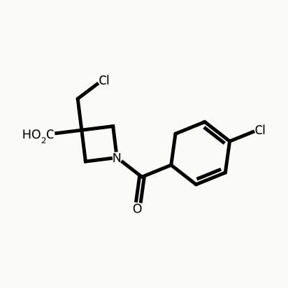 O=C(C1C=CC(Cl)=CC1)N1CC(CCl)(C(=O)O)C1